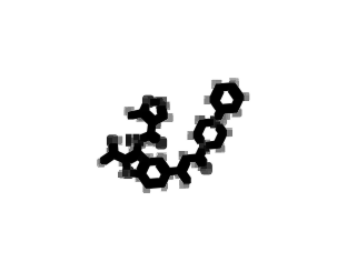 CC(=O)c1oc2ccc(C(C)=CC(=O)N3CCN(c4ccccc4)CC3)cc2c1NC(=O)c1cnoc1C